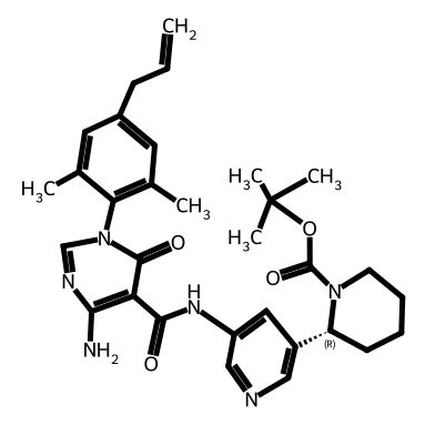 C=CCc1cc(C)c(-n2cnc(N)c(C(=O)Nc3cncc([C@H]4CCCCN4C(=O)OC(C)(C)C)c3)c2=O)c(C)c1